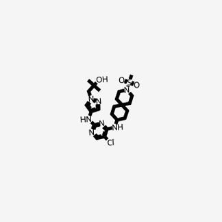 CC(C)(O)Cn1cc(Nc2ncc(Cl)c(NC3CCC4(CC3)CCN(S(C)(=O)=O)CC4)n2)cn1